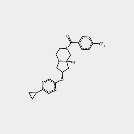 O=C(c1ccc(C(F)(F)F)cc1)N1CCN2C[C@H](Oc3cnc(C4CC4)cn3)C[C@H]2C1